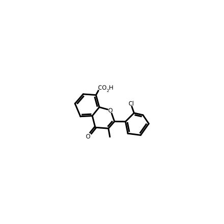 Cc1c(-c2ccccc2Cl)oc2c(C(=O)O)cccc2c1=O